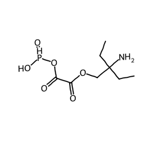 CCC(N)(CC)COC(=O)C(=O)O[PH](=O)O